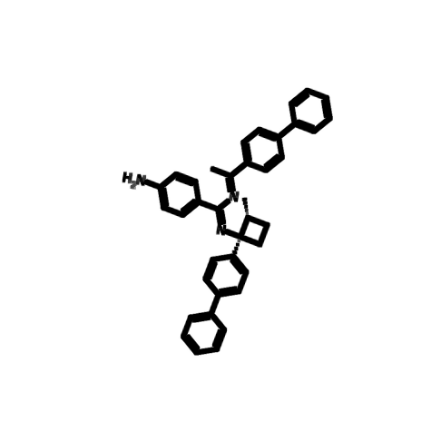 C/C(=N\C(=N/[C@]1(c2ccc(-c3ccccc3)cc2)CC[C@H]1C)c1ccc(N)cc1)c1ccc(-c2ccccc2)cc1